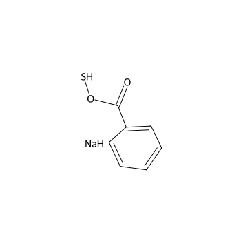 O=C(OS)c1ccccc1.[NaH]